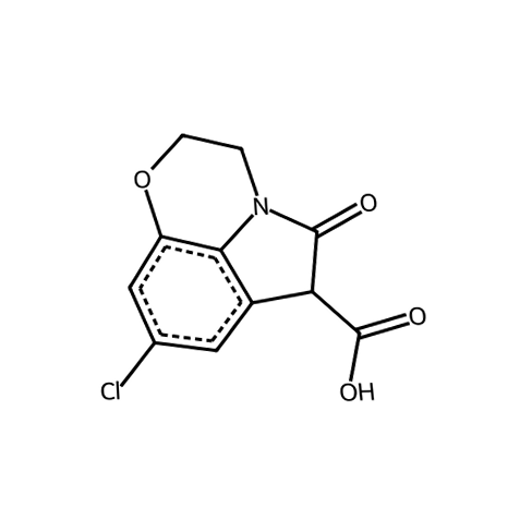 O=C(O)C1C(=O)N2CCOc3cc(Cl)cc1c32